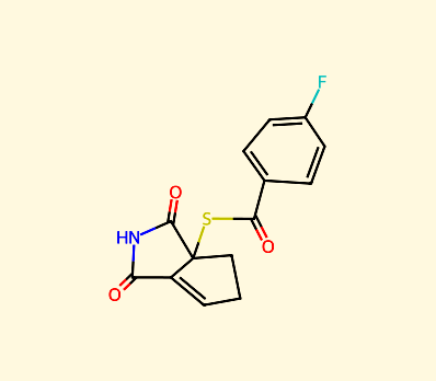 O=C1NC(=O)C2(SC(=O)c3ccc(F)cc3)CCC=C12